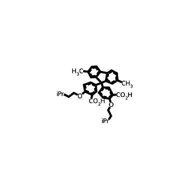 Cc1ccc2c(c1)C(c1ccc(OCCC(C)C)c(C(=O)O)c1)(c1ccc(OCCC(C)C)c(C(=O)O)c1)c1cc(C)ccc1-2